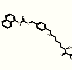 COC(=O)C(=O)N(O)CCCCNCc1ccc(COC(=O)Nc2cccc3ccccc23)cc1